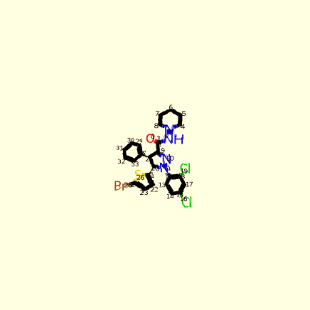 O=C(NN1CCCCC1)C1=NN(c2ccc(Cl)cc2Cl)[C@H](c2ccc(Br)s2)[C@H]1c1ccccc1